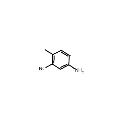 Cc1c[c]c(N)cc1C#N